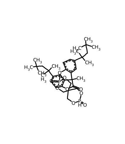 CC(C)(C)CC(C)(C)c1ccc2c(c1)C(C)(c1cc(C(C)(C)CC(C)(C)C)ccc1OP1(=O)OCC3(CO[PH](=O)OC3)CO1)C(=O)O2